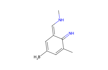 BC1=C/C(=C/NC)C(=N)C(C)=C1